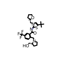 CC(C)(C)c1cn(C[C@H]2CCCO2)/c(=N/C(=O)c2cc(C(F)(F)F)ccc2CN2CCC[C@H]2CO)s1